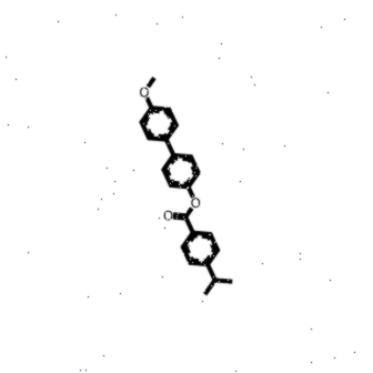 COc1ccc(-c2ccc(OC(=O)c3ccc(C(C)C)cc3)cc2)cc1